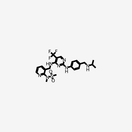 CC(C)NCc1ccc(Nc2ncc(C(F)(F)F)c(NCc3cccnc3N(C)S(C)(=O)=O)n2)cc1